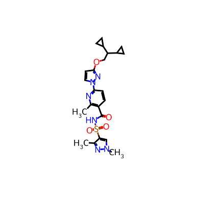 Cc1nc(-n2ccc(OCC(C3CC3)C3CC3)n2)ccc1C(=O)NS(=O)(=O)c1cn(C)nc1C